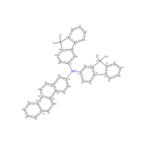 CC1(C)c2ccccc2-c2cc(N(c3ccc4c(c3)C(C)(C)c3ccccc3-4)c3ccc4c(ccc5c6ccccc6ccc45)c3)ccc21